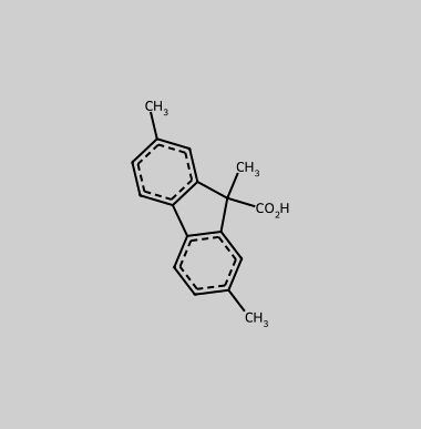 Cc1ccc2c(c1)C(C)(C(=O)O)c1cc(C)ccc1-2